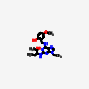 CCC(Nc1nc(NCc2cc(OC)ccc2O)c2ncn(CC)c2n1)C(C)O